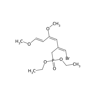 CCOP(=O)(CC(=C\Br)/C=C(\C=C\OC)OC)OCC